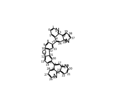 c1cnc2c(c1)c(-c1ccc3oc4ccc(-c5cc6ncccc6c6ncccc56)cc4c3c1)cc1ncccc12